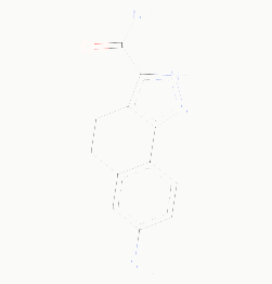 NC(=O)c1[nH]nc2c1CCc1cc(N)ccc1-2